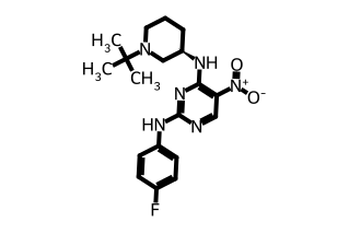 CC(C)(C)N1CCC[C@@H](Nc2nc(Nc3ccc(F)cc3)ncc2[N+](=O)[O-])C1